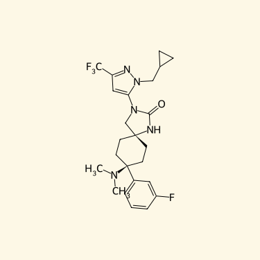 CN(C)[C@]1(c2cccc(F)c2)CC[C@@]2(CC1)CN(c1cc(C(F)(F)F)nn1CC1CC1)C(=O)N2